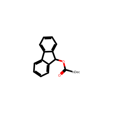 CCCCCCCCCCC(=O)OC1c2ccccc2-c2ccccc21